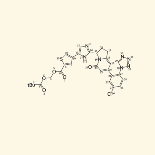 CC(C)(C)C(=O)OCOC(=O)c1cc(-c2cnc([C@@H]3CCc4cc(-c5cc(Cl)ccc5-n5cnnn5)cc(=O)n43)[nH]2)cs1